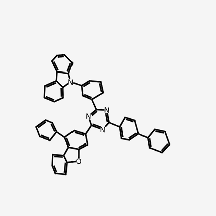 c1ccc(-c2ccc(-c3nc(-c4cccc(-n5c6ccccc6c6ccccc65)c4)nc(-c4cc(-c5ccccc5)c5c(c4)oc4ccccc45)n3)cc2)cc1